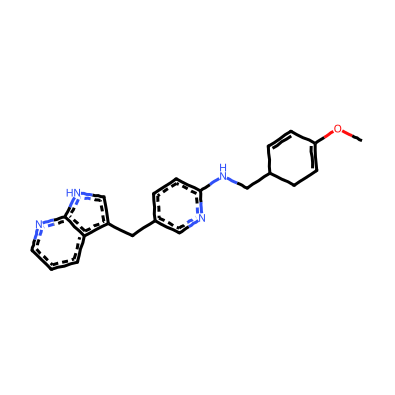 COC1=CCC(CNc2ccc(Cc3c[nH]c4ncccc34)cn2)C=C1